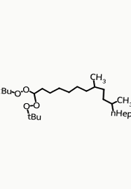 CCCCCCCC(C)CCC(C)CCCCCCC(OOC(C)(C)C)OOC(C)(C)C